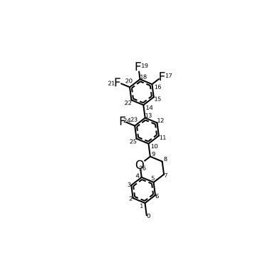 Cc1ccc2c(c1)CCC(c1ccc(-c3cc(F)c(F)c(F)c3)c(F)c1)O2